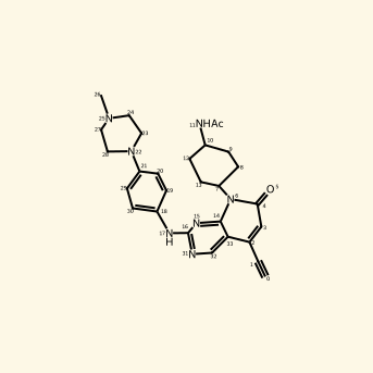 C#Cc1cc(=O)n(C2CCC(NC(C)=O)CC2)c2nc(Nc3ccc(N4CCN(C)CC4)cc3)ncc12